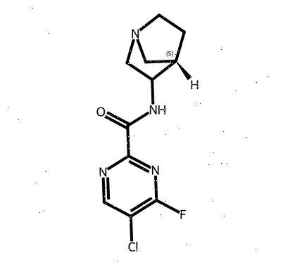 O=C(NC1CN2CC[C@H]1C2)c1ncc(Cl)c(F)n1